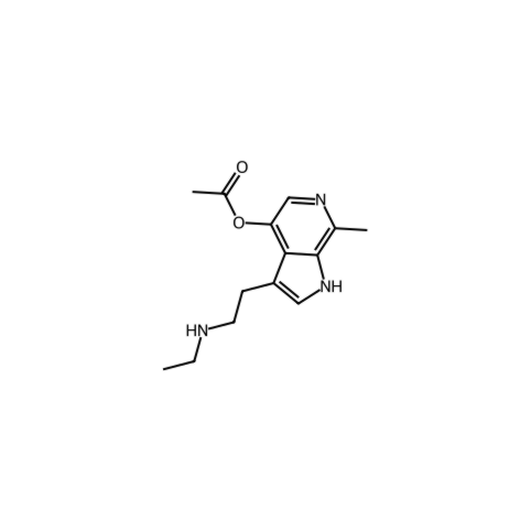 CCNCCc1c[nH]c2c(C)ncc(OC(C)=O)c12